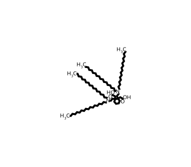 CCCCCCCCCCCCCCCCCCN(CCCCCCCCCCCCCCCCCC)CCC1(CC(=O)O)CCCCC1(CCN(CCCCCCCCCCCCCCCCCC)CCCCCCCCCCCCCCCCCC)CC(=O)O